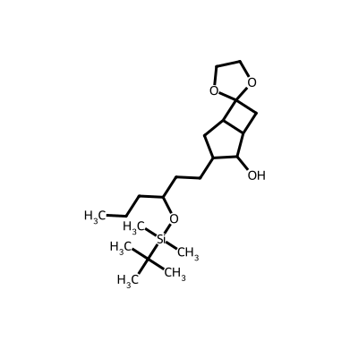 CCCC(CCC1CC2C(CC23OCCO3)C1O)O[Si](C)(C)C(C)(C)C